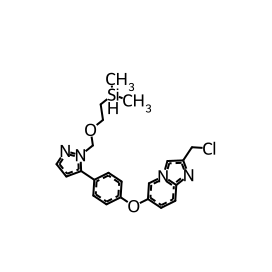 C[SiH](C)CCOCn1nccc1-c1ccc(Oc2ccc3nc(CCl)cn3c2)cc1